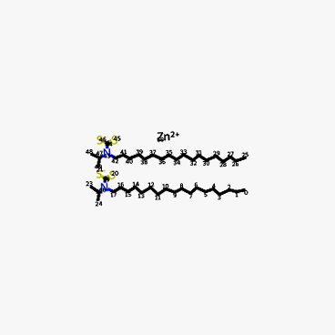 CCCCCCCCCCCCCCCCCCN(C(=S)[S-])C(C)C.CCCCCCCCCCCCCCCCCCN(C(=S)[S-])C(C)C.[Zn+2]